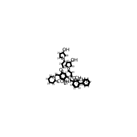 CC1(C)C(c2ccccc2)=CC=CC1(COc1cc(OCCCN2CC[C@@H](O)C2)c(CN2CCCC[C@H]2C(=O)O)cc1Cl)OCCCN1CC[C@@H](O)C1